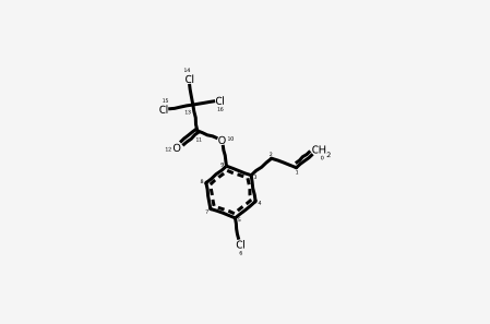 C=CCc1cc(Cl)ccc1OC(=O)C(Cl)(Cl)Cl